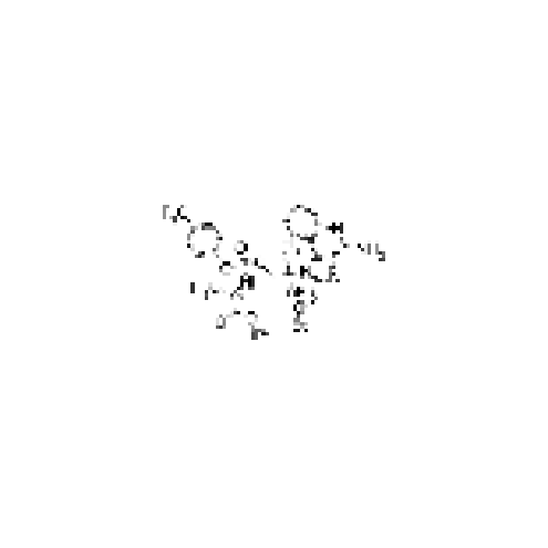 CCCCC(C)(CO[P@@](=O)(N[C@@H](C)C(=O)OC(C)C)Oc1ccc(C(F)(F)F)cc1)n1c(COCC)nc2c(N)nc3ccccc3c21